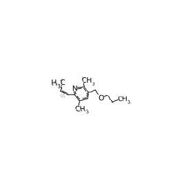 C/C=C\c1nc(C)c(COCCC)cc1C